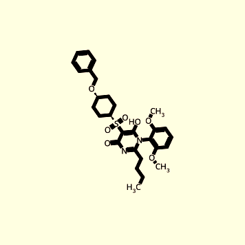 CCCCc1nc(=O)c(S(=O)(=O)[C@H]2CC[C@@H](OCc3ccccc3)CC2)c(O)n1-c1c(OC)cccc1OC